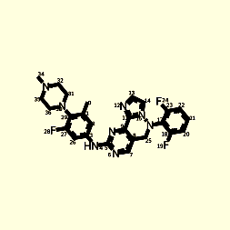 Cc1cc(Nc2ncc3c(n2)-c2nccn2N(c2c(F)cccc2F)C3)cc(F)c1N1CCN(C)CC1